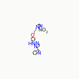 Cn1cc(-c2ccnc(Nc3ccc(OCCCCn4ccnc4[N+](=O)[O-])cc3)n2)c2ccccc21